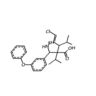 CC(C)C(C=CCl)C(C(=O)O)(C(C)C)C(NS)c1cccc(Oc2ccccc2)c1